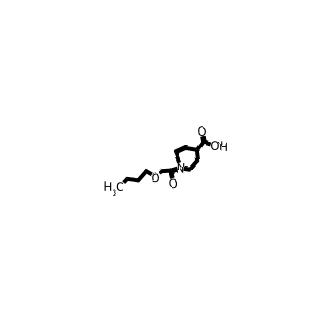 CCCCOCC(=O)N1CCC(C(=O)O)CC1